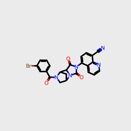 N#Cc1ccc(N2C(=O)C3C4CC(CN4C(=O)c4cccc(Br)c4)N3C2=O)c2cccnc12